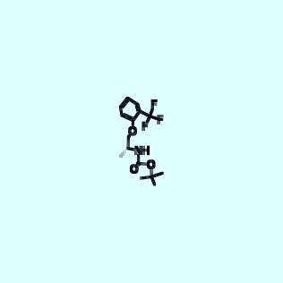 C[C@H](COc1ccccc1C(F)(F)F)NC(=O)OC(C)(C)C